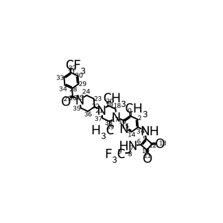 Cc1cc(Nc2c(NCC(F)(F)F)c(=O)c2=O)cnc1N1C[C@@H](C)N(C2CCN(C(=O)c3ccc(C(F)(F)F)cc3)CC2)C[C@@H]1C